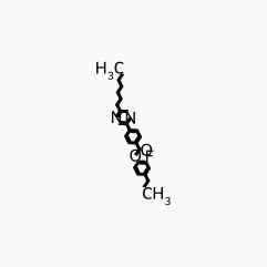 CCCCCCCc1cnc(-c2ccc(C(=O)Oc3ccc(CCC)cc3F)cc2)cn1